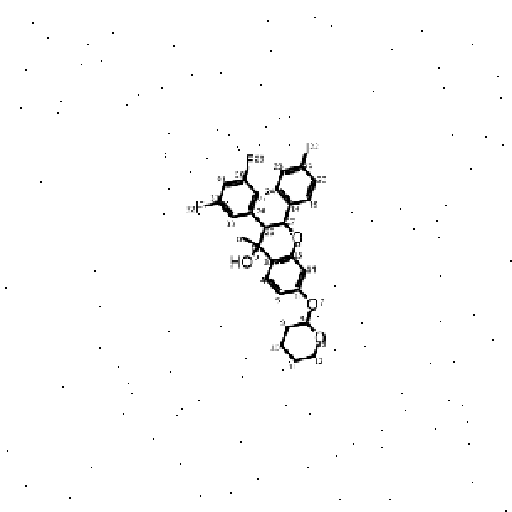 CC1(O)c2ccc(OC3CCCCO3)cc2OC(c2ccc(I)cc2)C1c1cc(F)cc(F)c1